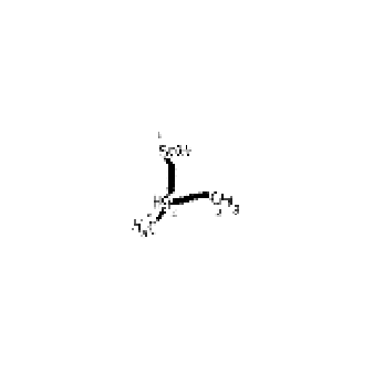 C[SiH](C)[SnH]